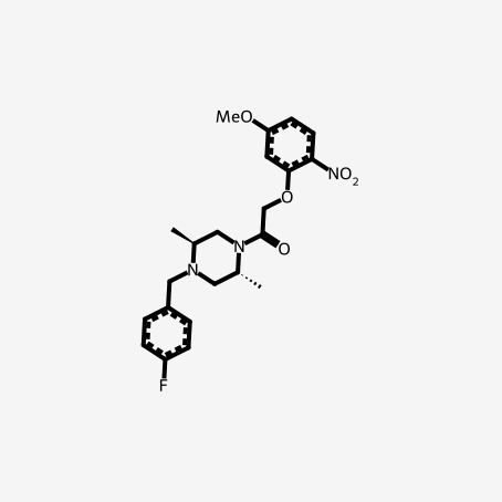 COc1ccc([N+](=O)[O-])c(OCC(=O)N2C[C@H](C)N(Cc3ccc(F)cc3)C[C@H]2C)c1